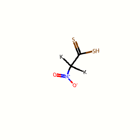 O=[N+]([O-])[C]([K])([K])C(=S)S